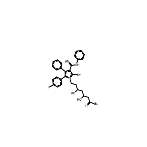 CC(C)c1c(C(=N)Nc2ccccc2)c(-c2ccccc2)c(-c2ccc(F)cc2)n1CCC(O)CC(O)CC(=O)C(C)(C)C